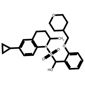 CC1CCc2cc(C3CC3)ccc2N1S(=O)(=O)C(O)c1ccccc1OCC1CCOCC1